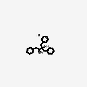 CCCC(Cc1ccccc1)C(N)(Cc1ccccc1)Cc1ccccc1.I